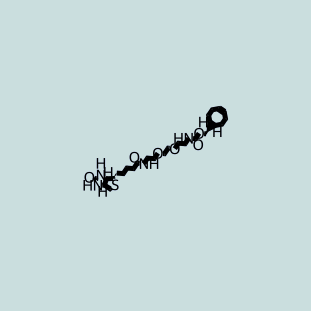 O=C(CCCC[C@@H]1SC[C@@H]2NC(=O)N[C@@H]21)NCCOCCOCCNC(=O)OC[C@@H]1[C@@H]2CCC#CCC[C@@H]21